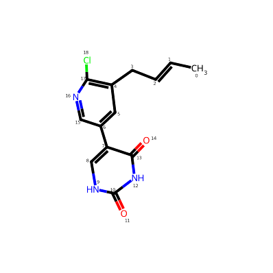 CC=CCc1cc(-c2c[nH]c(=O)[nH]c2=O)cnc1Cl